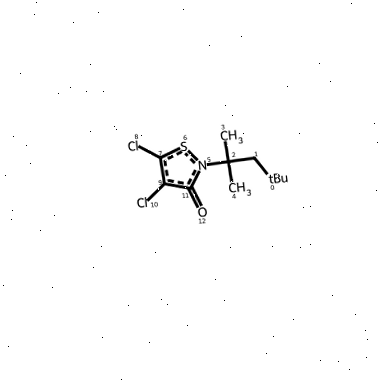 CC(C)(C)CC(C)(C)n1sc(Cl)c(Cl)c1=O